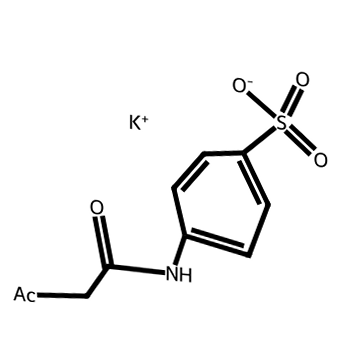 CC(=O)CC(=O)Nc1ccc(S(=O)(=O)[O-])cc1.[K+]